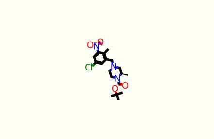 Cc1c(CN2CCN(C(=O)OC(C)(C)C)[C@H](C)C2)cc(Cl)cc1[N+](=O)[O-]